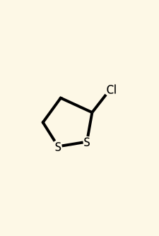 ClC1CCSS1